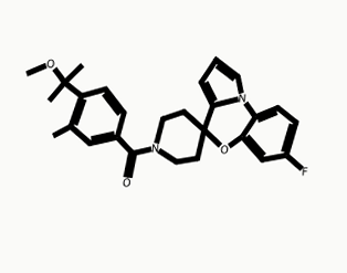 COC(C)(C)c1ccc(C(=O)N2CCC3(CC2)Oc2cc(F)ccc2-n2cccc23)cc1C